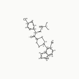 CC(C)NC[C@@H](C(=O)N1CCN(c2c(Br)cnc3[nH]ncc23)CC1)c1ccc(Cl)cc1